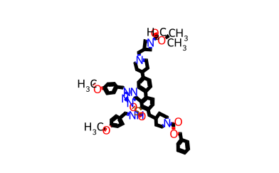 COc1ccc(CNS(=O)(=O)c2c(CC3CCN(C(=O)OCc4ccccc4)CC3)ccc(-c3ccc(C4CCN(CC5CN(C(=O)OC(C)(C)C)C5)CC4)cc3)c2-c2nnn(Cc3ccc(OC)cc3)n2)cc1